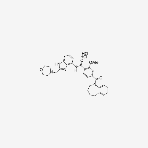 COc1cc(C(=O)N2CCCCc3ccccc32)ccc1C(=O)Nc1cccc2[nH]c(CN3CCOCC3)nc12.Cl.Cl